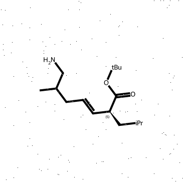 CC(C)C[C@@H](C=CCC(C)CN)C(=O)OC(C)(C)C